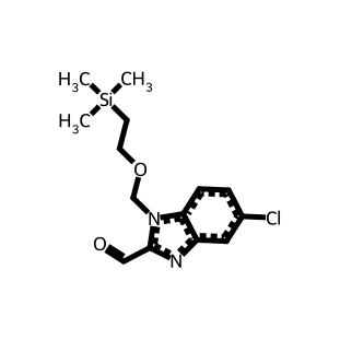 C[Si](C)(C)CCOCn1c(C=O)nc2cc(Cl)ccc21